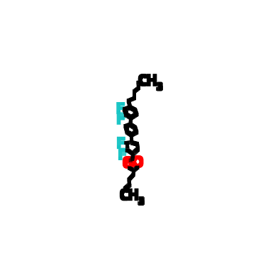 C/C=C/CCC1COC(C2=CC=C(c3ccc(-c4ccc(CCCCCC)c(F)c4F)cc3)C(F)C2F)OC1